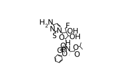 CC(C)OC(=O)[C@H](C)NP(=O)(OC[C@H]1O[C@@H](n2ccc(N)nc2=S)[C@@](O)(CF)C1O)Oc1ccccc1